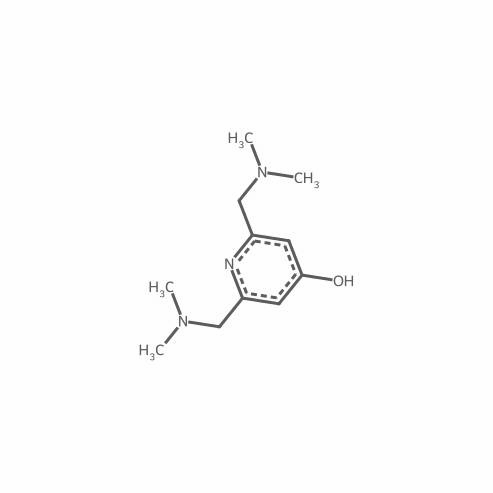 CN(C)Cc1cc(O)cc(CN(C)C)n1